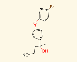 CC(O)(CCC#N)c1ccc(Oc2ccc(Br)cc2)cc1